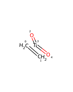 C=C.[O]=[Ti]=[O]